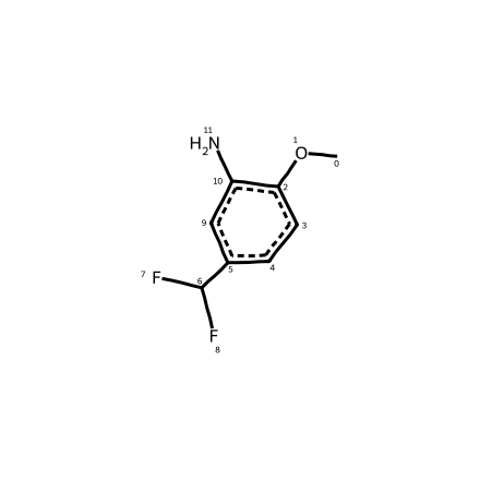 COc1ccc(C(F)F)cc1N